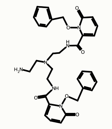 NCCN(CCNC(=O)c1cccc(=O)n1OCc1ccccc1)CCNC(=O)c1cccc(=O)n1OCc1ccccc1